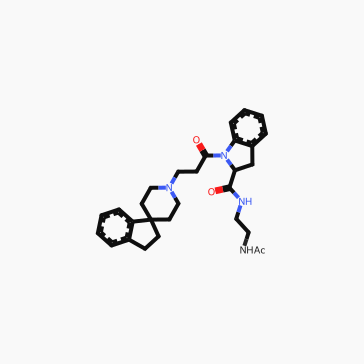 CC(=O)NCCNC(=O)C1Cc2ccccc2N1C(=O)CCN1CCC2(CCc3ccccc32)CC1